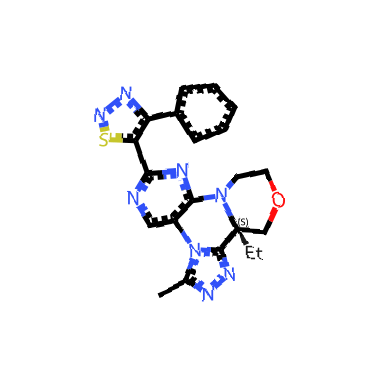 CC[C@]12COCCN1c1nc(-c3snnc3-c3ccccc3)ncc1-n1c(C)nnc12